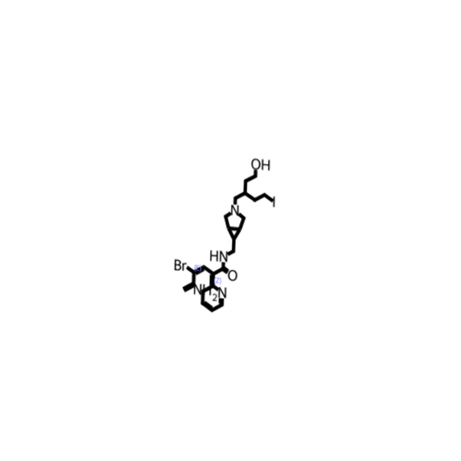 C=C(N)/C(Br)=C\C(C(=O)NCC1C2CN(CC(CCO)CCI)CC12)=C1/CC=CC=N1